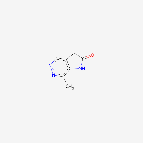 Cc1nncc2c1NC(=O)C2